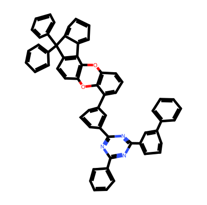 c1ccc(-c2cccc(-c3nc(-c4ccccc4)nc(-c4cccc(-c5cccc6c5Oc5ccc7c(c5O6)-c5ccccc5C7(c5ccccc5)c5ccccc5)c4)n3)c2)cc1